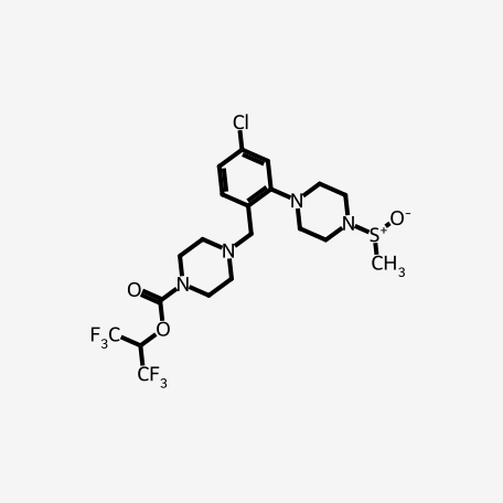 C[S+]([O-])N1CCN(c2cc(Cl)ccc2CN2CCN(C(=O)OC(C(F)(F)F)C(F)(F)F)CC2)CC1